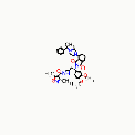 COc1ccc([C@@H](CCCNC(=O)c2c(C)noc2C)N2C(=O)c3cccc(N4CCN([C@H](C)c5ccccc5)CC4)c3C2=O)cc1OC